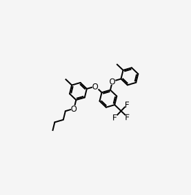 CCCCOc1cc(C)cc(Oc2ccc(C(F)(F)F)cc2Oc2ccccc2C)c1